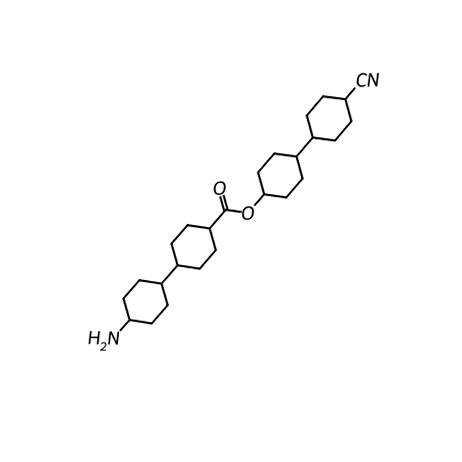 N#CC1CCC(C2CCC(OC(=O)C3CCC(C4CCC(N)CC4)CC3)CC2)CC1